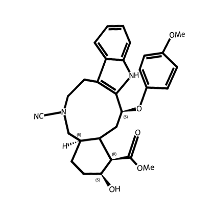 COC(=O)[C@@H]1C2C[C@H](Oc3ccc(OC)cc3)c3[nH]c4ccccc4c3CCN(C#N)C[C@@H]2CC[C@@H]1O